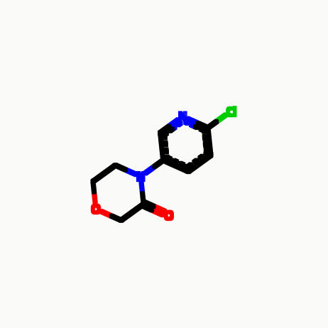 O=C1COCCN1c1ccc(Cl)nc1